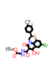 CC(C)(C)OC(=O)CNC(=O)c1c(O)c2cc(Br)cc3c2n(c1=O)CC(c1ccc(C(F)(F)F)cc1)S3